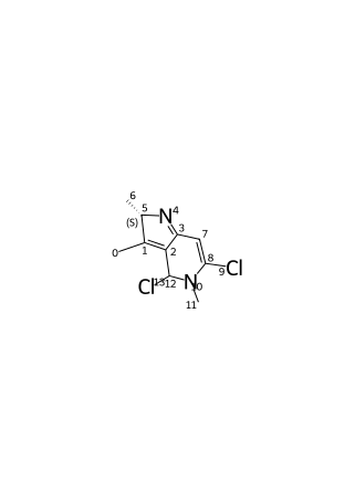 CC1=C2C(=N[C@H]1C)C=C(Cl)N(C)C2Cl